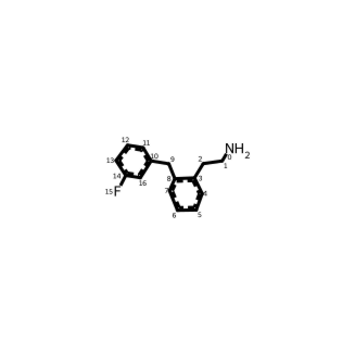 NCCc1ccccc1Cc1cccc(F)c1